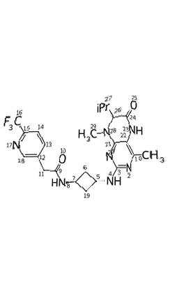 Cc1nc(N[C@H]2C[C@H](NC(=O)Cc3ccc(C(F)(F)F)nc3)C2)nc2c1NC(=O)C(C(C)C)N2C